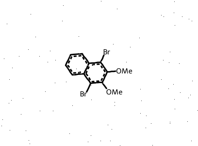 COc1c(OC)c(Br)c2ccccc2c1Br